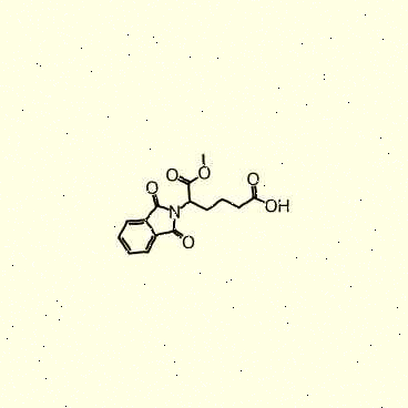 COC(=O)C(CCCC(=O)O)N1C(=O)c2ccccc2C1=O